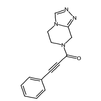 O=C(C#Cc1ccccc1)N1CCn2cnnc2C1